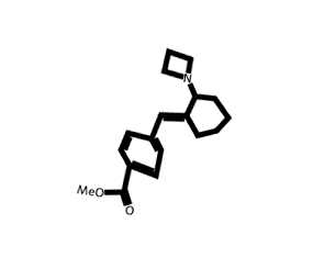 COC(=O)c1ccc(C=C2CCCCC2N2CCC2)cc1